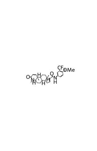 COc1ccc(NC(=O)C2CC[C@H]3[C@@H]4CC[C@H]5N(C)C(=O)C=C[C@]5(C)[C@H]4CC[C@]23C)cc1C(F)(F)F